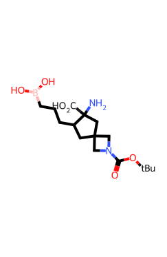 CC(C)(C)OC(=O)N1CC2(CC(CCCB(O)O)C(N)(C(=O)O)C2)C1